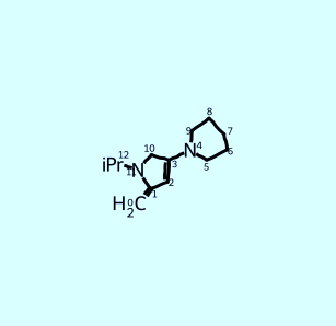 C=C1C=C(N2CCCCC2)CN1C(C)C